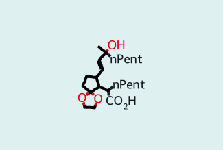 CCCCCC(C(=O)O)C1C(C=CC(C)(O)CCCCC)CCC12OCCO2